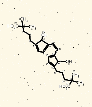 CC(C)(CCCC1=CC=C(/C=C\C2=CC=C(CCCC(C)(C)C(=O)O)C2O)C1O)C(=O)O